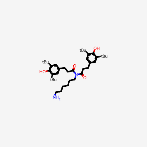 CC(C)(C)c1cc(CCC(=O)N(CCCCCCN)C(=O)CCc2cc(C(C)(C)C)c(O)c(C(C)(C)C)c2)cc(C(C)(C)C)c1O